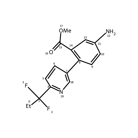 CCC(F)(F)c1ccc(-c2ccc(N)cc2C(=O)OC)cn1